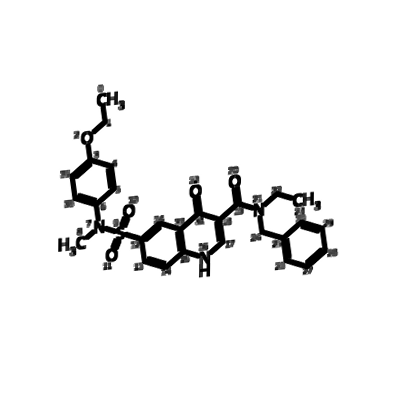 CCOc1ccc(N(C)S(=O)(=O)c2ccc3[nH]cc(C(=O)N(CC)Cc4ccccc4)c(=O)c3c2)cc1